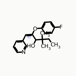 CCC(C)(C)C(O)/C(=C\c1cccnc1)Oc1ccc(F)cc1